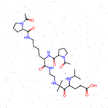 CC(=O)N1CCCC1C(=O)NCCCCC(NC(=O)C1CCCN1C(C)=O)C(=O)NCCNC(C)(C)C(=O)C(CCC(=O)O)NC(C)C